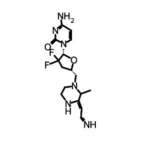 CC1/C(=C/C=N)NCCN1C[C@@H]1CC(F)(F)[C@H](n2ccc(N)nc2=O)O1